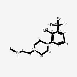 COCCN1CCN(c2cccc(C(F)(F)F)c2Cl)CC1